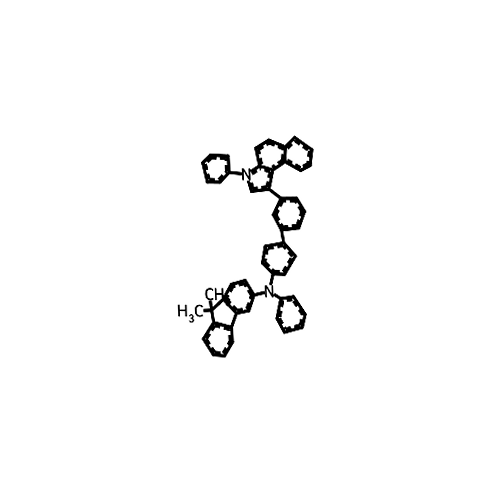 CC1(C)c2ccccc2-c2cc(N(c3ccccc3)c3ccc(-c4cccc(-c5cn(-c6ccccc6)c6ccc7ccccc7c56)c4)cc3)ccc21